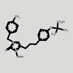 CCCCCCn1c(CCCc2ccc(OC(C)(C)C(=O)OCC)cc2)cn(Cc2ccc(C)cc2)c1=O